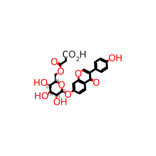 O=C(O)CC(=O)OC[C@H]1O[C@@H](Oc2ccc3c(=O)c(-c4ccc(O)cc4)coc3c2)[C@H](O)[C@@H](O)[C@@H]1O